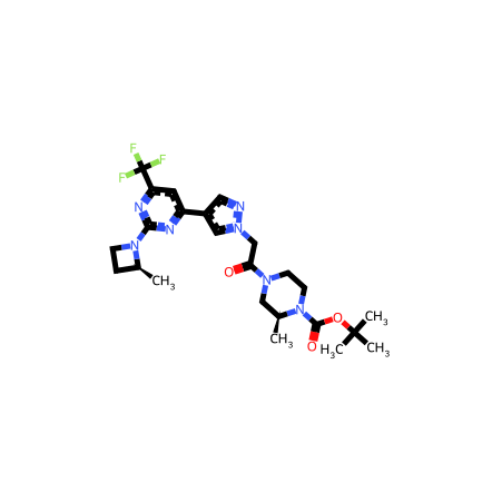 C[C@H]1CN(C(=O)Cn2cc(-c3cc(C(F)(F)F)nc(N4CC[C@@H]4C)n3)cn2)CCN1C(=O)OC(C)(C)C